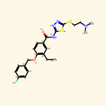 CCN(CC)CCSc1nnc(NC(=O)c2ccc(OCc3ccc(F)cc3)c(CC(C)C)c2)s1